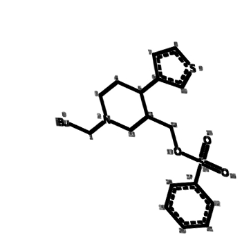 CCC(C)CN1CCC(c2ccsc2)C(COS(=O)(=O)c2ccccc2)C1